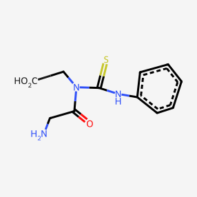 NCC(=O)N(CC(=O)O)C(=S)Nc1ccccc1